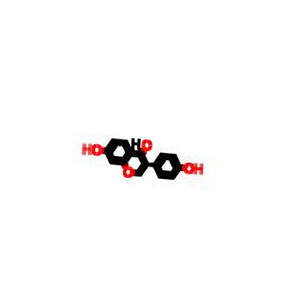 O=C1[C@H]2CC=C(O)C=C2OC[C@@H]1c1ccc(O)cc1